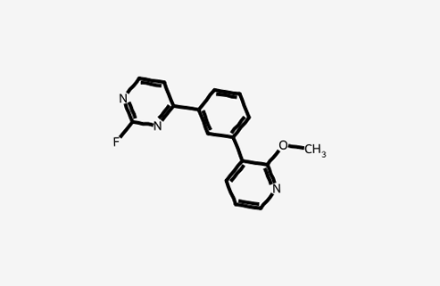 COc1ncccc1-c1cccc(-c2ccnc(F)n2)c1